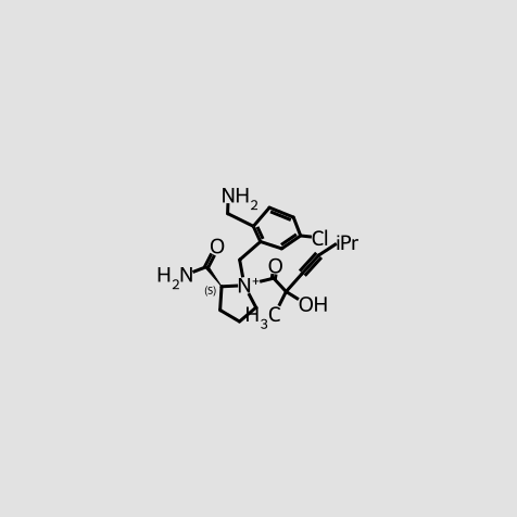 CC(C)C#CC(C)(O)C(=O)[N+]1(Cc2cc(Cl)ccc2CN)CCC[C@H]1C(N)=O